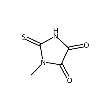 CN1C(=O)C(=O)NC1=S